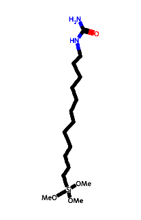 CO[Si](CCCCCCCCCCCCNC(N)=O)(OC)OC